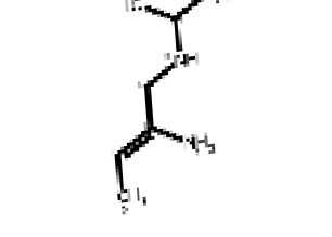 C/C=C(\N)CNC(C)O